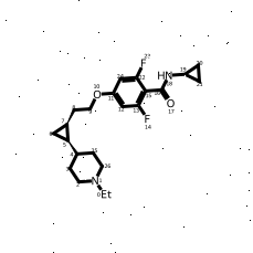 CCN1CCC([C@H]2C[C@H]2CCOc2cc(F)c(C(=O)NC3CC3)c(F)c2)CC1